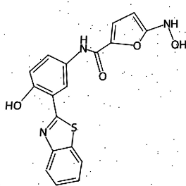 O=C(Nc1ccc(O)c(-c2nc3ccccc3s2)c1)c1ccc(NO)o1